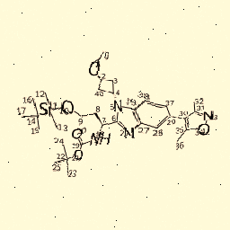 CO[C@H]1C[C@H](n2c([C@H](CCO[Si](C)(C)C(C)(C)C)NC(=O)OC(C)(C)C)nc3cc(-c4c(C)noc4C)ccc32)C1